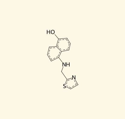 Oc1cccc2c(NCc3nccs3)cccc12